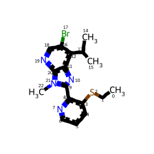 CCSc1cccnc1-c1nc2c(C(C)C)c(Br)cnc2n1C